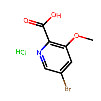 COc1cc(Br)cnc1C(=O)O.Cl